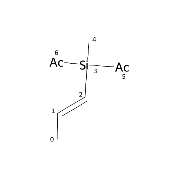 CC=C[Si](C)(C(C)=O)C(C)=O